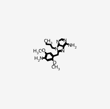 CCCCn1c(Cc2cc(OC)c(N)cc2OC)nc2c(N)ncnc21